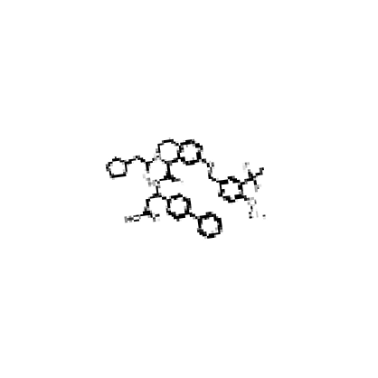 COc1ccc(COc2ccc3c(c2)C(C(=O)NC(CC(=O)O)c2ccc(-c4ccccc4)cc2)N(C(=O)CC2CCCC2)CC3)cc1C(F)(F)F